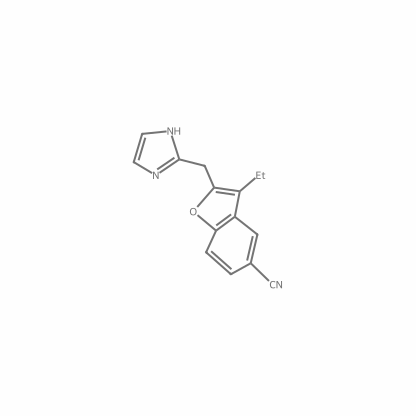 CCc1c(Cc2ncc[nH]2)oc2ccc(C#N)cc12